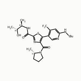 C[C@@H](O)[C@@H](C)NC(=O)c1nc(C(=O)N2CCC[C@@H]2C)c(-c2cnc(NC(C)(C)C)cc2C(F)(F)F)s1